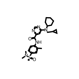 C=S(=O)(c1ccc(NC(=O)c2cc(N(CC3CC3)C3CCCCC3)ncn2)c(C)c1)N(C)C